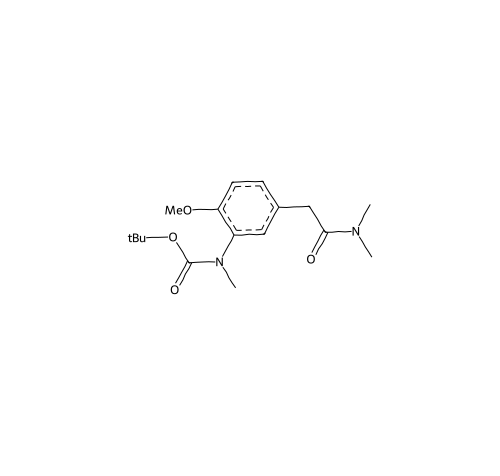 COc1ccc(CC(=O)N(C)C)cc1N(C)C(=O)OC(C)(C)C